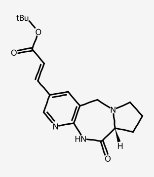 CC(C)(C)OC(=O)C=Cc1cnc2c(c1)CN1CCC[C@@H]1C(=O)N2